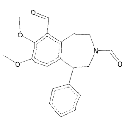 COc1cc2c(c(C=O)c1OC)CCN(C=O)CC2c1ccccc1